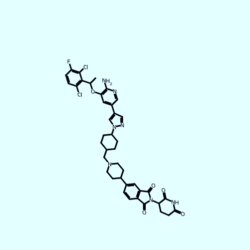 CC(Oc1cc(-c2cnn(C3CCC(CN4CCC(c5ccc6c(c5)C(=O)N(C5CCC(=O)NC5=O)C6=O)CC4)CC3)c2)cnc1N)c1c(Cl)ccc(F)c1Cl